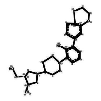 C[C@@H]1CN(C2CCN(c3cccc(-c4ccc5c(c4)OCCO5)c3C#N)CC2)C[C@H]1CO